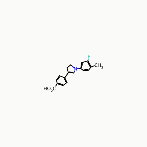 Cc1ccc(N2C=C(c3ccc(C(=O)O)cc3)CC2)cc1F